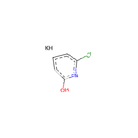 Oc1cccc(Cl)n1.[KH]